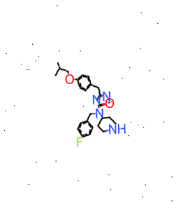 CC(C)COc1ccc(Cc2noc(N(Cc3ccc(F)cc3)C3CCNCC3)n2)cc1